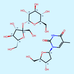 Cc1cn([C@H]2C[C@H](O)[C@@H](CO)O2)c(=O)[nH]c1=O.OC[C@H]1O[C@@](CO)(O[C@H]2O[C@H](CO)[C@@H](O)[C@H](O)[C@H]2O)[C@@H](O)[C@@H]1O